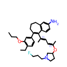 CCCOc1cc(C2=C(/C(C)=C/C=C(\C)OC3CCN(CCCF)C3)c3ccc(N)cc3CCC2)ccc1CC